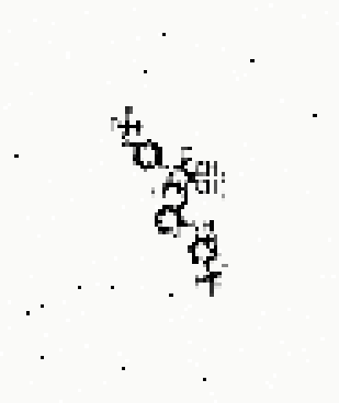 CC1(C)C(=O)N(c2ccc(SC(F)(F)F)cc2)C(=O)N1Cc1cccnc1Nc1ccc(C(F)(F)F)cn1